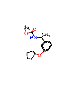 C[C@H](NC(=O)OC(C)(C)C)c1cccc(OC2CCCC2)c1